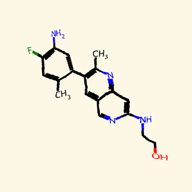 Cc1cc(F)c(N)cc1-c1cc2cnc(NCCO)cc2nc1C